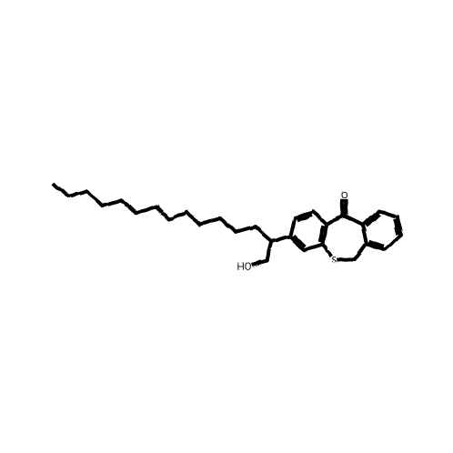 CCCCCCCCCCCCCC(CO)c1ccc2c(c1)SCc1ccccc1C2=O